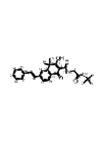 CC(C)(C)OC(=O)CNC(=O)C1=C(O)C(C)(C)c2cc(C=Cc3ccccc3)ccc2C1=O